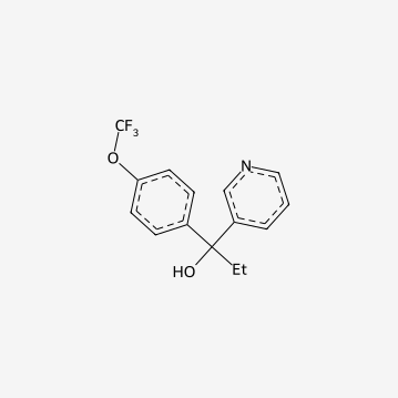 CCC(O)(c1ccc(OC(F)(F)F)cc1)c1cccnc1